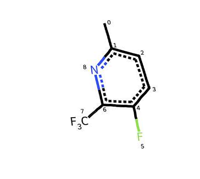 Cc1ccc(F)c(C(F)(F)F)n1